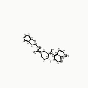 C[C@@H]1CCN(C(=O)NC2Cc3ccccc3C2)CC1N(C)c1ccnc2[nH]ccc12